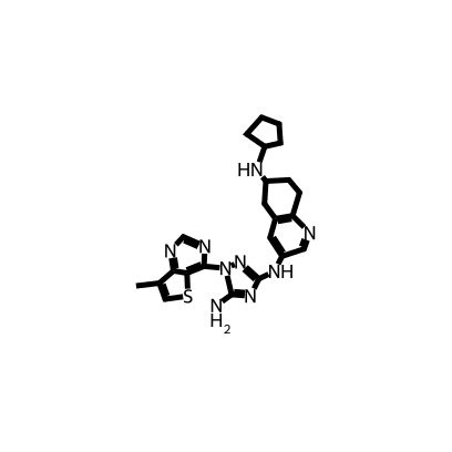 Cc1csc2c(-n3nc(Nc4cnc5c(c4)CC(NC4CCCC4)CC5)nc3N)ncnc12